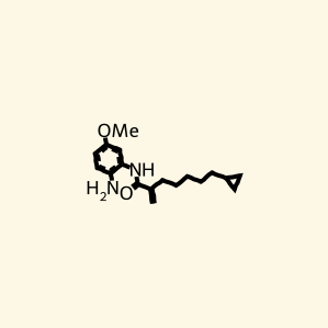 C=C(CCCCCC1CC1)C(=O)Nc1cc(OC)ccc1N